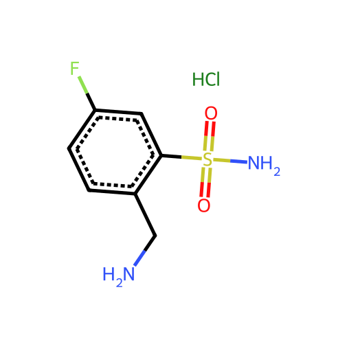 Cl.NCc1ccc(F)cc1S(N)(=O)=O